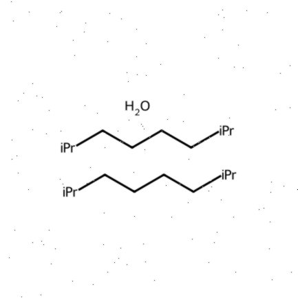 CC(C)CCCCC(C)C.CC(C)CCCCC(C)C.O